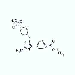 CCOC(=O)c1ccc(-c2nc(N)sc2Cc2ccc(S(C)(=O)=O)cc2)cc1